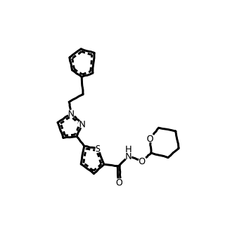 O=C(NOC1CCCCO1)c1ccc(-c2ccn(CCc3ccccc3)n2)s1